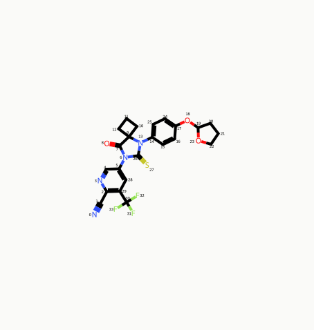 N#Cc1ncc(N2C(=O)C3(CCC3)N(c3ccc(OC4CCCO4)cc3)C2=S)cc1C(F)(F)F